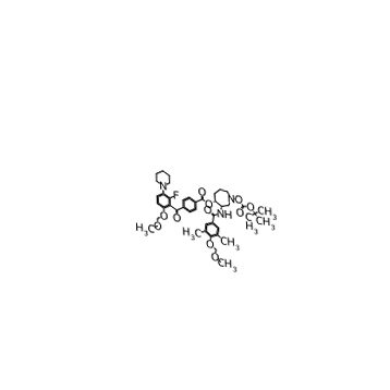 COCOc1ccc(N2CCCCC2)c(F)c1C(=O)c1ccc(C(=O)O[C@@H]2CCCN(OC(=O)OC(C)(C)C)C[C@H]2NC(=O)c2cc(C)c(OCOC)c(C)c2)cc1